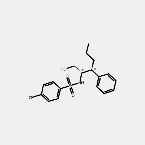 CCC[C@@H](c1ccccc1)[C@@H](CO)NS(=O)(=O)c1ccc(Cl)cc1